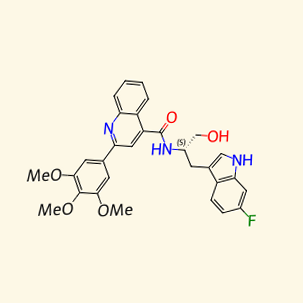 COc1cc(-c2cc(C(=O)N[C@H](CO)Cc3c[nH]c4cc(F)ccc34)c3ccccc3n2)cc(OC)c1OC